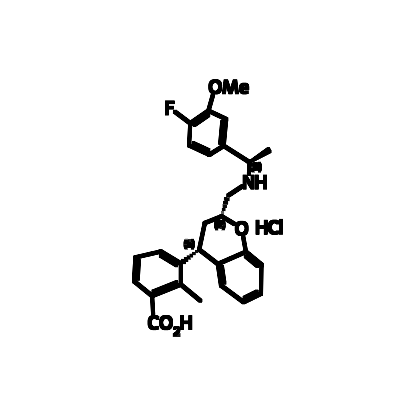 COc1cc([C@@H](C)NC[C@H]2C[C@@H](c3cccc(C(=O)O)c3C)c3ccccc3O2)ccc1F.Cl